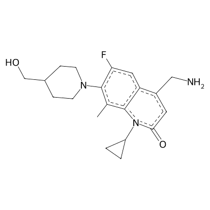 Cc1c(N2CCC(CO)CC2)c(F)cc2c(CN)cc(=O)n(C3CC3)c12